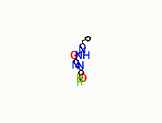 O=C(NCCN1CCC(Cc2ccccc2)CC1)c1ccn2cc(-c3ccc(OC(F)(F)F)cc3)nc2c1